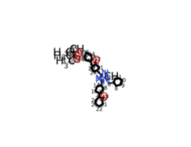 C\N=C(/N=C(\N=C\c1ccccc1)c1ccc2c(c1)oc1ccccc12)c1ccc2c(c1)oc1ccc(B3OC(C)(C)C(C)(C)O3)cc12